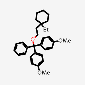 [CH2]CC1(CCOC(c2ccccc2)(c2ccc(OC)cc2)c2ccc(OC)cc2)CCCCC1